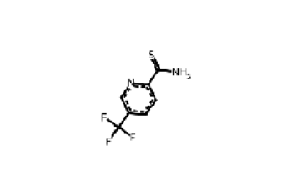 NC(=S)c1ccc(C(F)(F)F)cn1